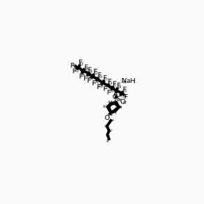 CCCCCOc1ccc(S(=O)(=O)C(F)(F)C(F)(F)C(F)(F)C(F)(F)C(F)(F)C(F)(F)C(F)(F)C(F)(F)C(F)(F)C(F)(F)F)cc1.[NaH]